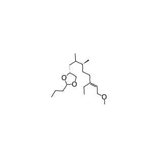 CCCC1OC[C@@H](CC(C)[C@@H](C)CC/C(=C/COC)CC)O1